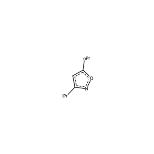 CCCc1cc(C(C)C)no1